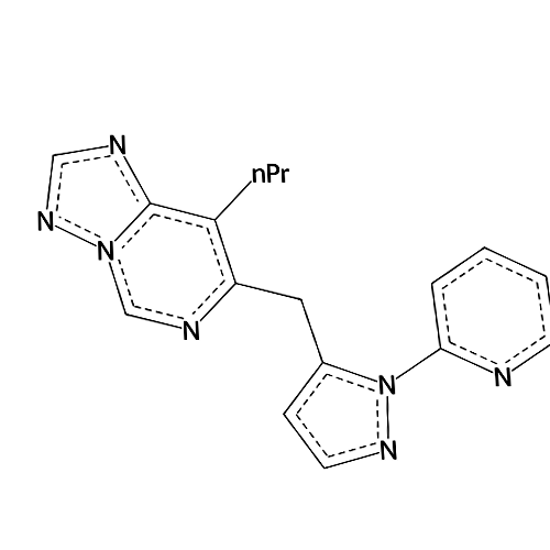 CCCc1c(Cc2ccnn2-c2ccccn2)ncn2ncnc12